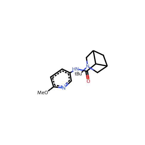 COc1ccc(NC(=O)C2C3CC2CN(C(C)(C)C)C3)cn1